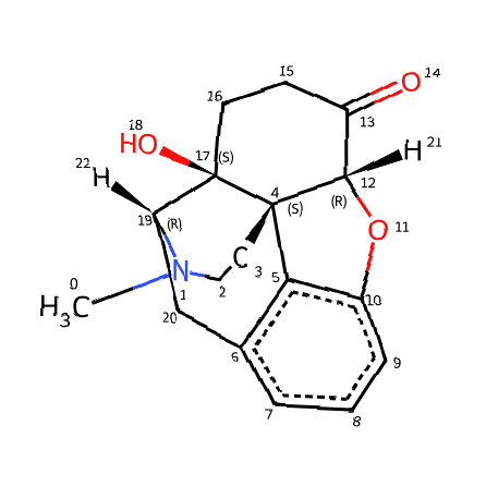 CN1CC[C@]23c4c5cccc4O[C@H]2C(=O)CC[C@@]3(O)[C@H]1C5